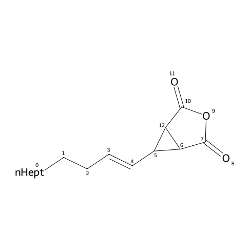 CCCCCCCCCC=CC1C2C(=O)OC(=O)C12